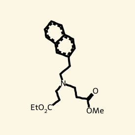 CCOC(=O)CCN(CCC(=O)OC)CCc1ccc2ccccc2c1